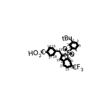 CC(C)(C)c1cccc(S(=O)(=O)n2c(Cc3ccc(C(=O)O)cc3)cc3ccc(C(F)(F)F)cc32)c1